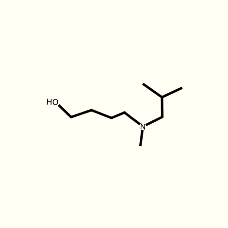 CC(C)CN(C)CCCCO